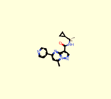 Cc1cc(-c2ccncc2)nc2c(C(=O)N[C@@H](C)C3CC3)cnn12